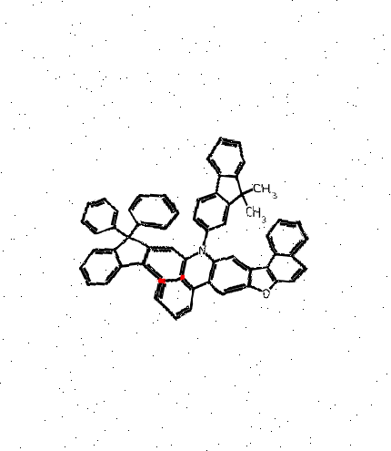 CC1(C)c2ccccc2-c2ccc(N(c3ccc4c(c3)C(c3ccccc3)(c3ccccc3)c3ccccc3-4)c3cc4c(cc3-c3ccccc3)oc3ccc5ccccc5c34)cc21